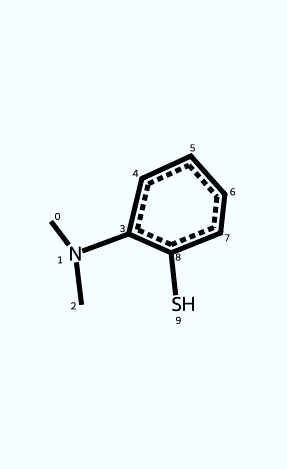 CN(C)c1ccccc1S